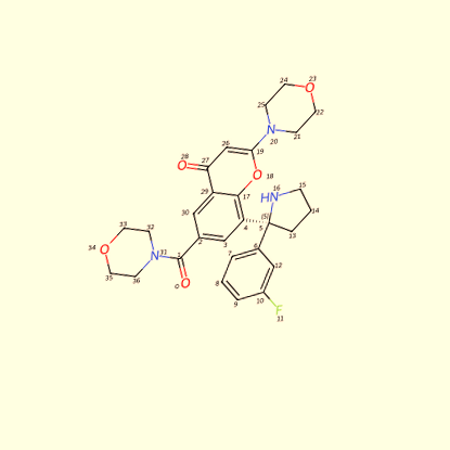 O=C(c1cc([C@@]2(c3cccc(F)c3)CCCN2)c2oc(N3CCOCC3)cc(=O)c2c1)N1CCOCC1